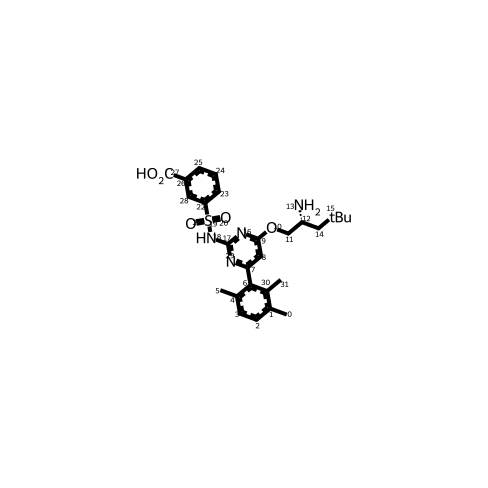 Cc1ccc(C)c(-c2cc(OC[C@H](N)CC(C)(C)C)nc(NS(=O)(=O)c3cccc(C(=O)O)c3)n2)c1C